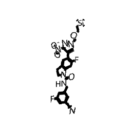 C[Si](C)(C)CCOCn1cc(-c2cc3c(cc2F)N(C(=O)NCc2cc(F)cc(C#N)c2)CC3)c([N+](=O)[O-])n1